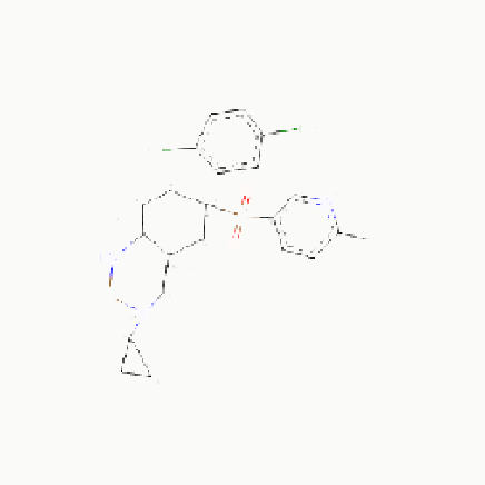 O=S(=O)(c1ccc(C(F)(F)F)nc1)[C@]1(c2cc(F)ccc2F)CC[C@@H]2NSN(C3CC3)C[C@@H]2C1